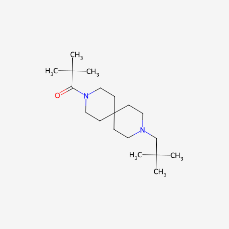 CC(C)(C)CN1CCC2(CC1)CCN(C(=O)C(C)(C)C)CC2